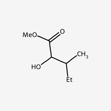 CCC(C)C(O)C(=O)OC